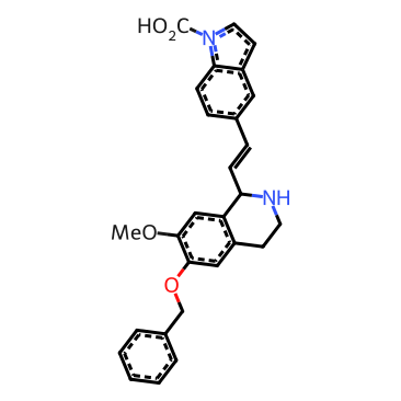 COc1cc2c(cc1OCc1ccccc1)CCNC2C=Cc1ccc2c(ccn2C(=O)O)c1